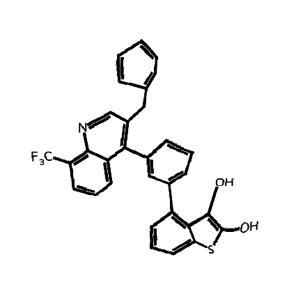 Oc1sc2cccc(-c3cccc(-c4c(Cc5ccccc5)cnc5c(C(F)(F)F)cccc45)c3)c2c1O